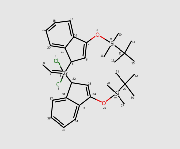 C[CH]=[Zr]([Cl])([Cl])([CH]1C=C(O[Si](C)(C)C(C)(C)C)c2ccccc21)[CH]1C=C(O[Si](C)(C)C(C)(C)C)c2ccccc21